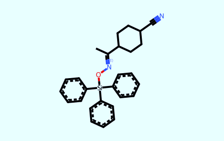 C/C(=N\O[Si](c1ccccc1)(c1ccccc1)c1ccccc1)C1CCC(C#N)CC1